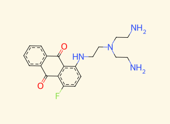 NCCN(CCN)CCNc1ccc(F)c2c1C(=O)c1ccccc1C2=O